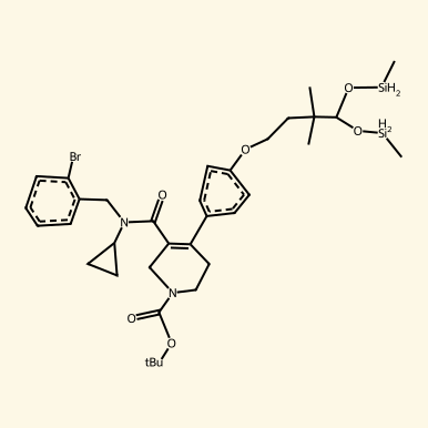 C[SiH2]OC(O[SiH2]C)C(C)(C)CCOc1ccc(C2=C(C(=O)N(Cc3ccccc3Br)C3CC3)CN(C(=O)OC(C)(C)C)CC2)cc1